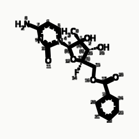 C[C@]1(O)[C@H](n2ccc(N)nc2=O)O[C@](F)(COC(=O)c2ccccc2)[C@H]1O